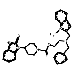 Cn1c(CN(CCOC(=O)N2CCC(n3c(=O)[nH]c4ccccc43)CC2)Cc2ccccc2)cc2ccccc21